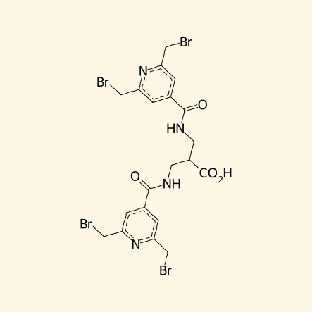 O=C(NCC(CNC(=O)c1cc(CBr)nc(CBr)c1)C(=O)O)c1cc(CBr)nc(CBr)c1